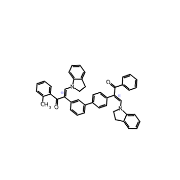 Cc1ccccc1C(=O)/C(=C/N1CCc2ccccc21)c1cccc(-c2ccc(/C(=C\N3CCc4ccccc43)C(=O)c3ccccc3)cc2)c1